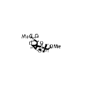 COCC(C)(C)S(=O)(=O)C1(CS(=O)(=O)OC)CC1